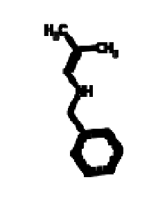 CC(C)=CNCc1ccccc1